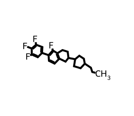 CCCC1CCC(C2CCc3c(ccc(-c4cc(F)c(F)c(F)c4)c3F)C2)CC1